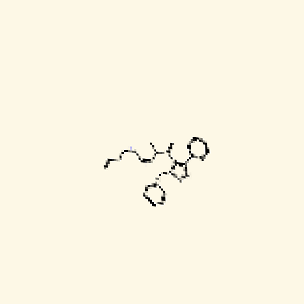 C=CC/C=C\C=C/C(C)C(=C)n1c(C[PH]2=CC=CC=C2)nnc1-c1ccccc1